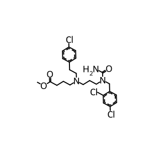 COC(=O)CCCN(CCCN(Cc1ccc(Cl)cc1Cl)C(N)=O)CCc1ccc(Cl)cc1